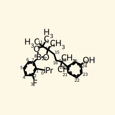 CC(C)c1c(F)cccc1B1OC(C)(C)C(C)(CCC(C)(C)c2cccc(O)c2)O1